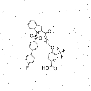 O=C(O)c1ccc(OCCNC(=O)[C@@H]2Cc3ccccc3N2S(=O)(=O)c2ccc(-c3ccc(F)cc3)cc2)c(C(F)(F)F)c1